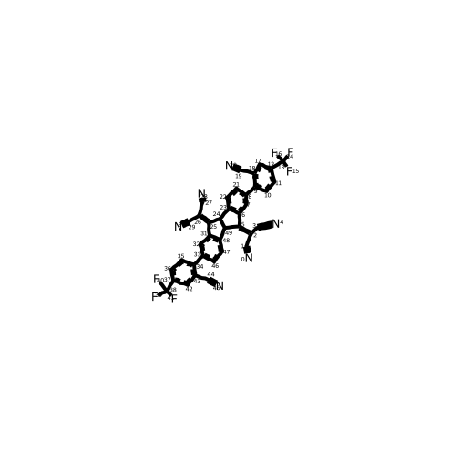 N#CC(C#N)=C1c2cc(-c3ccc(C(F)(F)F)cc3C#N)ccc2C2C(=C(C#N)C#N)c3cc(-c4ccc(C(F)(F)F)cc4C#N)ccc3C12